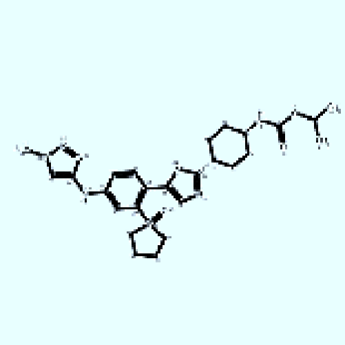 CC(C)OC(=O)N[C@H]1CC[C@H](c2ncc(-c3ccc(Nc4cn(C)nn4)cc3P3(=O)CCCC3)s2)CC1